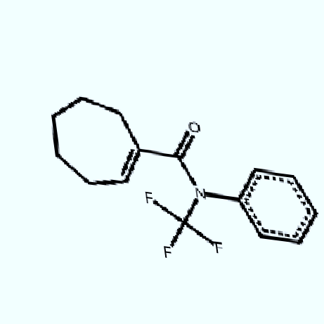 O=C(C1=CCCCCC1)N(c1ccccc1)C(F)(F)F